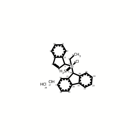 C[CH2][Ti](=[SiH2])([Cl])([CH]1C=Cc2ccccc21)[CH]1c2ccccc2-c2ccccc21.Cl.Cl